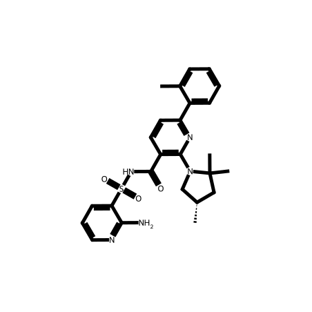 Cc1ccccc1-c1ccc(C(=O)NS(=O)(=O)c2cccnc2N)c(N2C[C@@H](C)CC2(C)C)n1